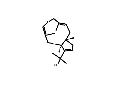 C/C1=C\C[C@]2(C)CC=C(C(C)(C)O)[C@H]2CC/C(C)=C/CC1